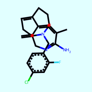 C=C1CN=C(N)C(C)=C=C1/C1=C\CCN(Cc2ccc(Cl)cc2F)CCC1